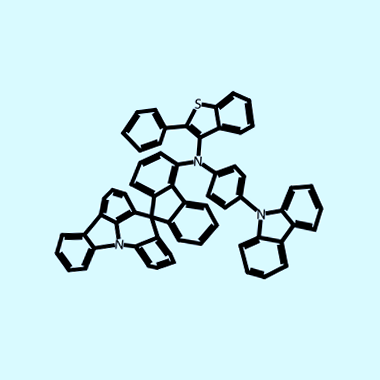 c1ccc(-c2sc3ccccc3c2N(c2ccc(-n3c4ccccc4c4ccccc43)cc2)c2cccc3c2-c2ccccc2C32c3ccccc3-n3c4ccccc4c4cccc2c43)cc1